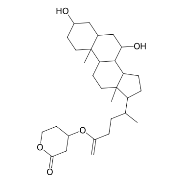 C=C(CCC(C)C1CCC2C3C(O)CC4CC(O)CCC4(C)C3CCC12C)OC1CCOC(=O)C1